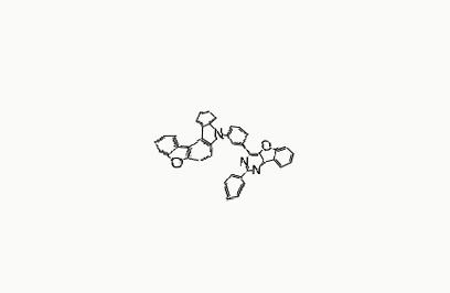 c1ccc(-c2nc(-c3cccc(-n4c5ccccc5c5c6c(ccc54)oc4ccccc46)c3)c3oc4ccccc4c3n2)cc1